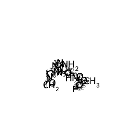 C=CC(=O)N1CCCC(n2nc(-c3ccc(CNC(=O)c4cc(F)ccc4OC)cc3)c3c(N)ncnc32)C1